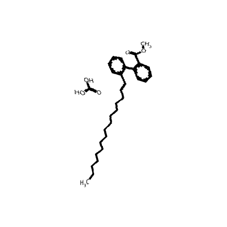 CCCCCCCCCCCCCCCCc1ccccc1-c1ccccc1C(=O)OC.O=C(O)O